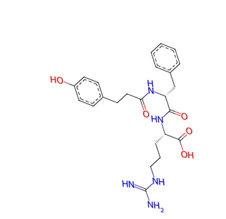 N=C(N)NCCC[C@H](NC(=O)[C@@H](Cc1ccccc1)NC(=O)CCc1ccc(O)cc1)C(=O)O